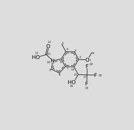 COc1cc(C)c2c(ccn2C(=O)O)c1C(O)C(F)(F)F